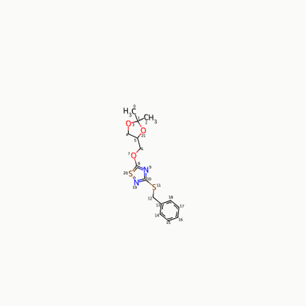 CC1(C)OCC(COc2nc(SCc3ccccc3)ns2)O1